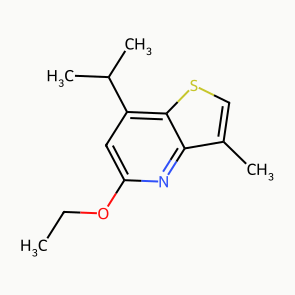 CCOc1cc(C(C)C)c2scc(C)c2n1